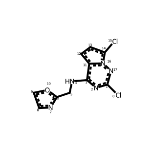 Clc1nc(NCc2ncco2)c2ccc(Cl)n2n1